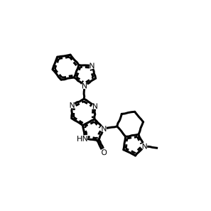 Cn1ccc2c1CCCC2n1c(=O)[nH]c2cnc(-n3cnc4ccccc43)nc21